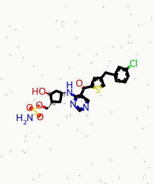 NS(=O)(=O)OC[C@H]1C[C@@H](Nc2ncncc2C(=O)c2cc(Cc3cccc(Cl)c3)cs2)C[C@@H]1O